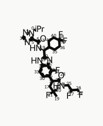 CC(C)n1ncnc1C(=O)N[C@H](c1nc2c(F)c(C(CC(C)(F)F)C(=O)NCC(F)CF)ccc2[nH]1)C1CCC(F)(F)CC1